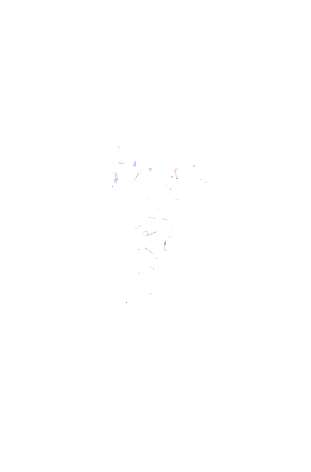 CC(C)(C)N1CCN(c2ccc(S(=O)(=O)[C@@H]3C[C@H](OC(=O)NC4(C#N)CC4)N(C(=O)C4(C(F)(F)F)CC4)C3)c(Cl)c2)CC1